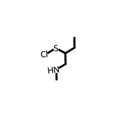 CCC(CNC)SCl